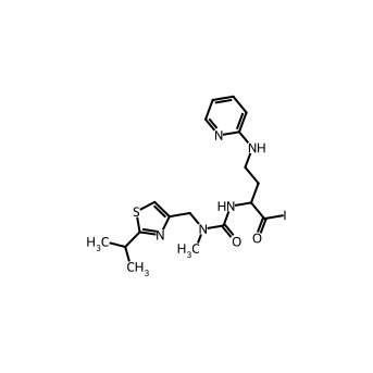 CC(C)c1nc(CN(C)C(=O)NC(CCNc2ccccn2)C(=O)I)cs1